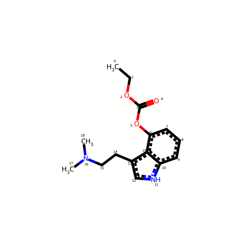 CCOC(=O)Oc1cccc2[nH]cc(CCN(C)C)c12